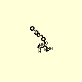 O=C(NC(Cc1ncc[nH]1)Cc1ncc[nH]1)C1CCC(CN2CCC3(CCN(C4CCCCC4)CC3)C2)CC1